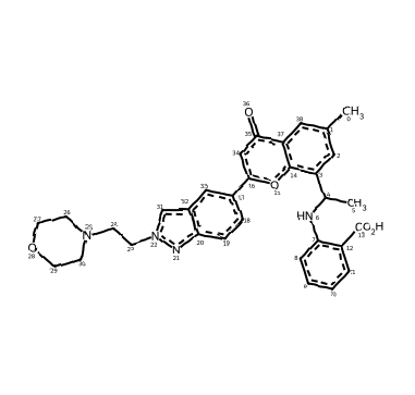 Cc1cc(C(C)Nc2ccccc2C(=O)O)c2oc(-c3ccc4nn(CCN5CCOCC5)cc4c3)cc(=O)c2c1